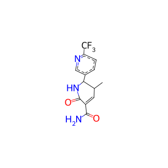 CC1C=C(C(N)=O)C(=O)NC1c1ccc(C(F)(F)F)nc1